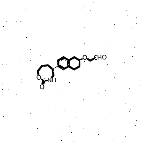 O=CCO[C@H]1CCc2cc([C@H]3CCCOC(=O)NC3)ccc2C1